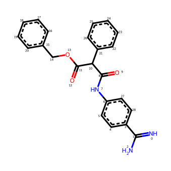 N=C(N)c1ccc(NC(=O)C(C(=O)OCc2ccccc2)c2ccccc2)cc1